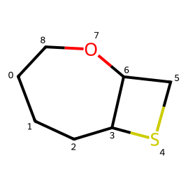 C1CCC2SCC2OC1